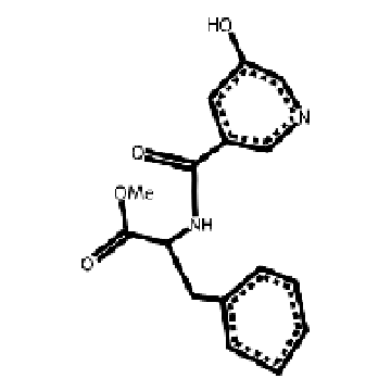 COC(=O)C(Cc1ccccc1)NC(=O)c1cncc(O)c1